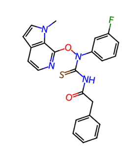 Cn1ccc2ccnc(ON(C(=S)NC(=O)Cc3ccccc3)c3cccc(F)c3)c21